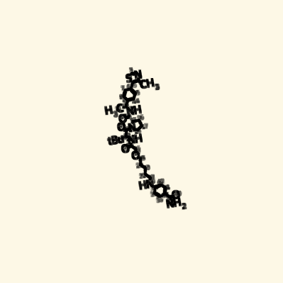 Cc1ncsc1-c1ccc([C@@H](C)NC(=O)[C@@H]2CCCN2C(=O)[C@@H](NC(=O)COCCCCCNc2ccc(C(N)=O)cc2)C(C)(C)C)cc1